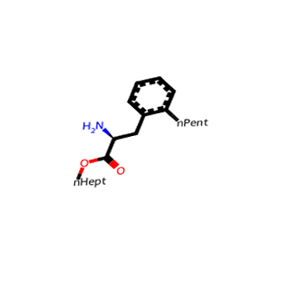 CCCCCCCOC(=O)[C@@H](N)Cc1ccccc1CCCCC